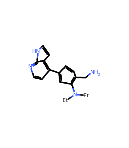 CCN(CC)c1cc(-c2ccnc3[nH]ccc23)ccc1CN